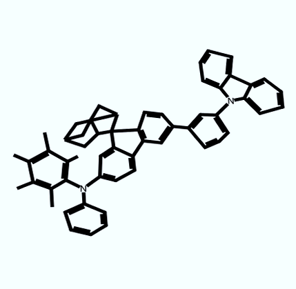 Cc1c(C)c(C)c(N(c2ccccc2)c2ccc3c(c2)C2(c4ccc(-c5cccc(-n6c7ccccc7c7ccccc76)c5)cc4-3)C3CC4CC(C3)C2C4)c(C)c1C